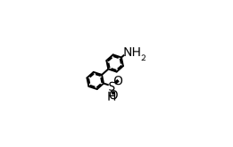 Nc1ccc(-c2ccccc2[SH](=O)=O)cc1